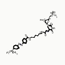 CO[C@@H]1C[C@H](n2cc(/C=C/C(=O)NCCCCCCNC(=O)c3ccc(/N=N/c4ccc(N(C)C)cc4)cc3)c(=O)[nH]c2=O)O[C@@H]1COP(C)(=O)O